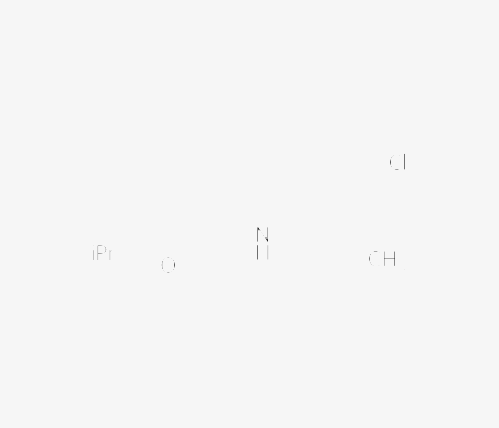 C/C(Cl)=C\NCOC(C)C